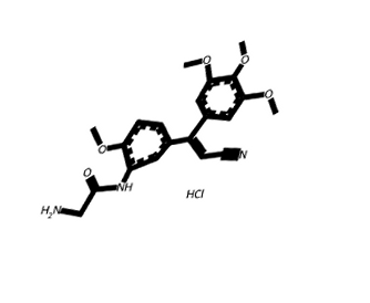 COc1ccc(C(=CC#N)c2cc(OC)c(OC)c(OC)c2)cc1NC(=O)CN.Cl